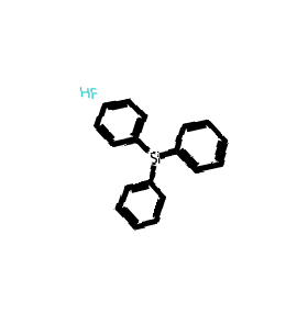 F.c1ccc([Si](c2ccccc2)c2ccccc2)cc1